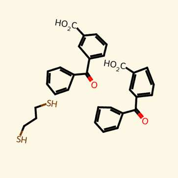 O=C(O)c1cccc(C(=O)c2ccccc2)c1.O=C(O)c1cccc(C(=O)c2ccccc2)c1.SCCCS